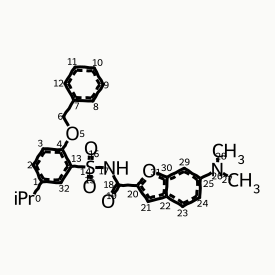 CC(C)c1ccc(OCc2ccccc2)c(S(=O)(=O)NC(=O)c2cc3ccc(N(C)C)cc3o2)c1